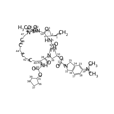 C=C[C@@H]1C[C@@]12NC(=O)[C@@H]1C[C@@H](OC(=O)N3Cc4ccc(N(C)C)cc4C3)CN1C(=O)[C@@H](NC(=O)OC1CCCC1)CCCCCCCCN(C)S(=O)(=O)NC2=O